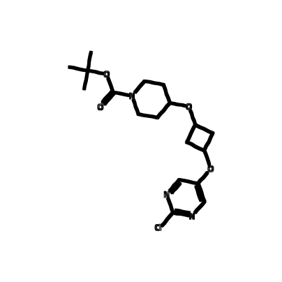 CC(C)(C)OC(=O)N1CCC(OC2CC(Oc3cnc(Cl)nc3)C2)CC1